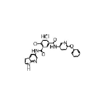 Cl.O=C(Nc1ccc(Oc2ccccc2)nc1)c1ccc(Cl)c(C(=O)Nc2cnc3[nH]ccc3c2)c1